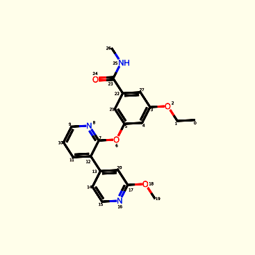 CCOc1cc(Oc2ncccc2-c2ccnc(OC)c2)cc(C(=O)NC)c1